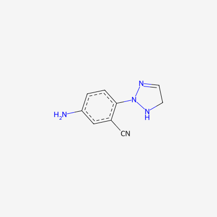 N#Cc1cc(N)ccc1N1N=CCN1